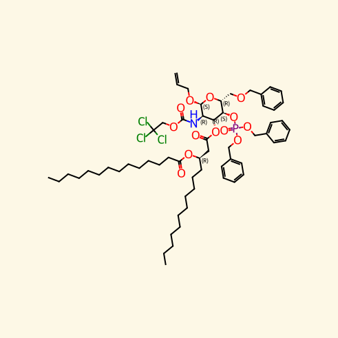 C=CCO[C@H]1O[C@H](COCc2ccccc2)[C@@H](OP(=O)(OCc2ccccc2)OCc2ccccc2)[C@H](OC(=O)C[C@@H](CCCCCCCCCCC)OC(=O)CCCCCCCCCCCCC)[C@H]1NC(=O)OCC(Cl)(Cl)Cl